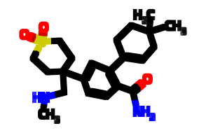 CNCC1(c2ccc(C(N)=O)c(C3=CCC(C)(C)CC3)c2)CCS(=O)(=O)CC1